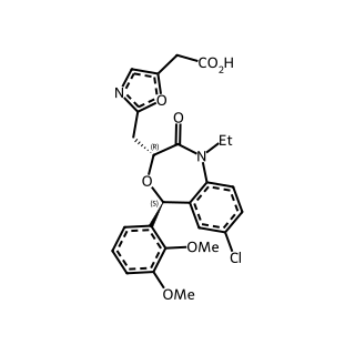 CCN1C(=O)[C@@H](Cc2ncc(CC(=O)O)o2)O[C@H](c2cccc(OC)c2OC)c2cc(Cl)ccc21